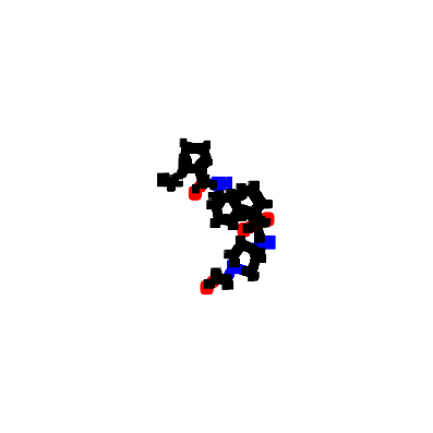 Cc1ccccc1C(=O)Nc1cccc2c(S(=O)(=O)NC3CCN(CC=O)CC3)cccc12